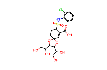 O=C(O)C1=CC2(CCC1S(=O)(=O)Nc1ccccc1Cl)OC(C(O)CO)C(C(O)CO)O2